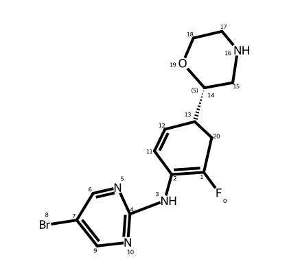 FC1=C(Nc2ncc(Br)cn2)C=CC([C@H]2CNCCO2)C1